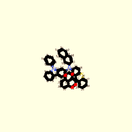 c1ccc(-n2c3ccccc3c3ccc(N(c4ccc5c(c4)C4(c6ccccc6S5)c5ccccc5-c5cccc6cccc4c56)c4ccc5ccccc5c4)cc32)cc1